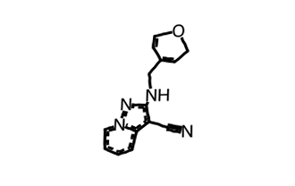 N#Cc1c(NCC2=CCOC=C2)nn2ccccc12